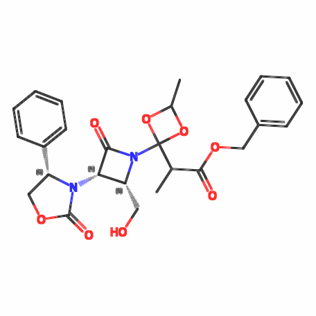 CC1OC(C(C)C(=O)OCc2ccccc2)(N2C(=O)[C@@H](N3C(=O)OC[C@@H]3c3ccccc3)[C@H]2CO)O1